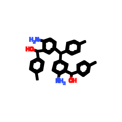 Cc1ccc(C(O)c2cc(C(c3ccc(C)cc3)c3ccc(N)c(C(O)c4ccc(C)cc4)c3)ccc2N)cc1